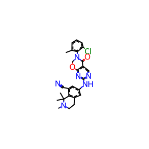 Cc1cccc(Cl)c1N1COc2nc(Nc3cc(C#N)c4c(c3)CCN(C)C4(C)C)ncc2C1=O